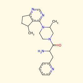 CC1CCc2ncnc(N3CCN(C(=O)C(N)Cc4ccccn4)CC3C)c21